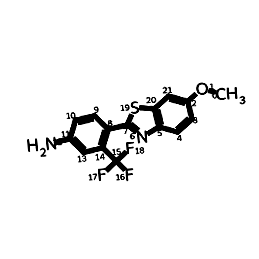 COc1ccc2nc(-c3ccc(N)cc3C(F)(F)F)sc2c1